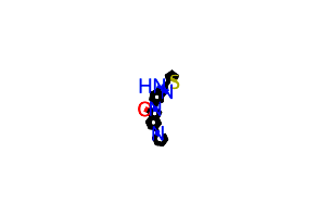 O=C1c2ccc(N3CCCCC3)cc2CN1c1ccc2[nH]c(-c3cccs3)nc2c1